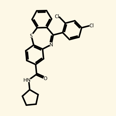 O=C(NC1CCCC1)c1ccc2c(c1)N=C(c1ccc(Cl)cc1Cl)c1ccccc1S2